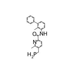 Cc1nc(C(=O)Nc2cccc(-c3ccccc3)c2C)ccc1CP